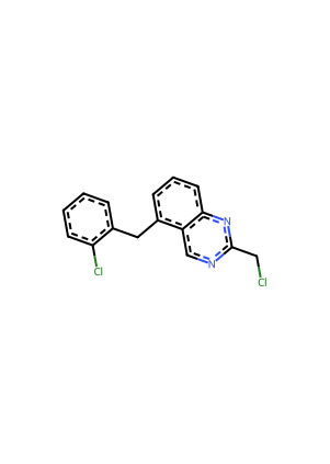 ClCc1ncc2c(Cc3ccccc3Cl)cccc2n1